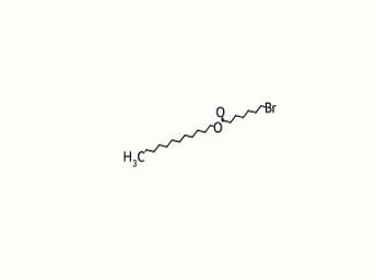 CCCCCCCCCCCCOC(=O)CCCCCCBr